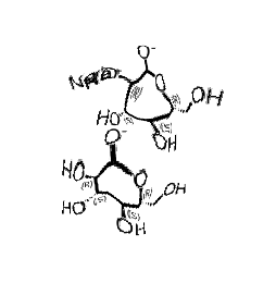 [Na+].[Na+].[O-]C1O[C@H](CO)[C@@H](O)[C@H](O)[C@H]1O.[O-]C1O[C@H](CO)[C@@H](O)[C@H](O)[C@H]1O